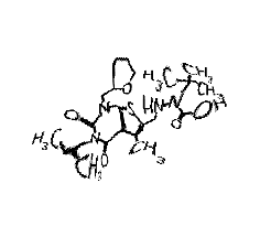 Cc1c(CNN(C(=O)O)C(C)(C)C)sc2c1c(=O)n(C(C)C)c(=O)n2CC1CCCO1